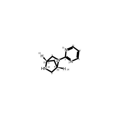 c1cnc(N2C[C@@H]3C[C@H]2CN3)nc1